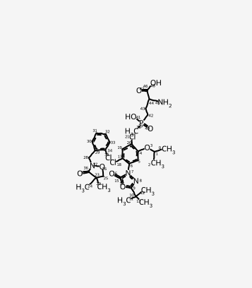 CC(C)Oc1cc(-n2nc(C(C)(C)C)oc2=O)c(Cl)cc1Cl.CC1(C)CON(Cc2ccccc2Cl)C1=O.CP(=O)(O)CCC(N)C(=O)O